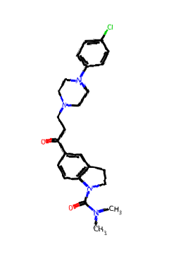 CN(C)C(=O)N1CCc2cc(C(=O)CCN3CCN(c4ccc(Cl)cc4)CC3)ccc21